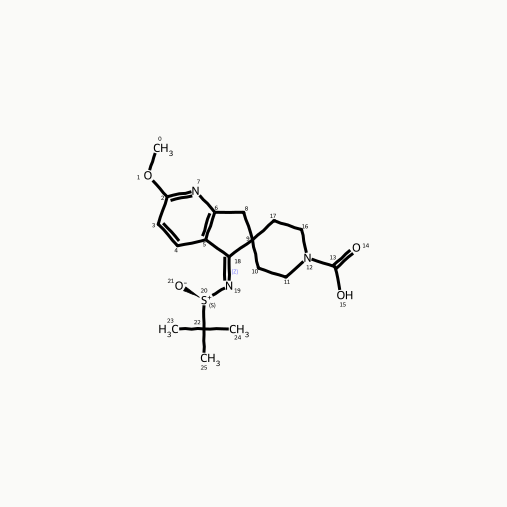 COc1ccc2c(n1)CC1(CCN(C(=O)O)CC1)/C2=N/[S@+]([O-])C(C)(C)C